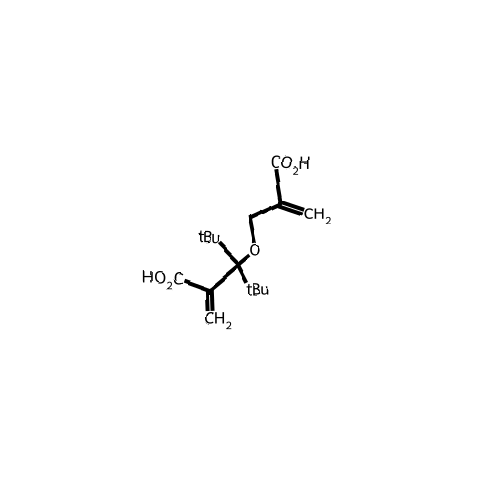 C=C(COC(C(=C)C(=O)O)(C(C)(C)C)C(C)(C)C)C(=O)O